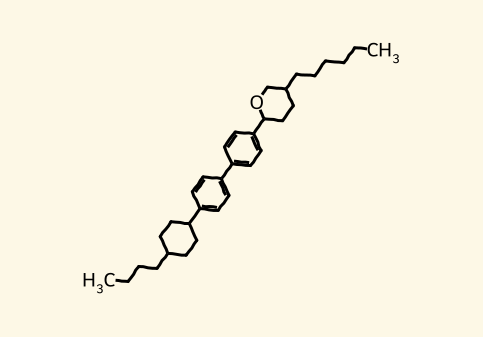 CCCCCCC1CCC(c2ccc(-c3ccc(C4CCC(CCCC)CC4)cc3)cc2)OC1